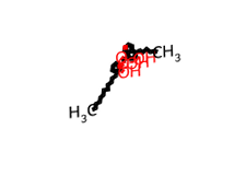 CCCCCCCCCCCCc1cccc(OC(=O)c2c(O)c(O)c(CCCCCC)c3ccccc23)c1O